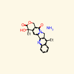 CCc1c2c(nc3ccccc13)-c1cc3c(c(=O)n1C2)COC(=O)C3(O)CC.N